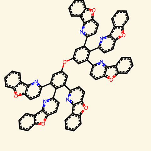 c1ccc2c(c1)oc1ccc(-c3cc(Oc4cc(-c5ccc6oc7ccccc7c6n5)c(-c5ccc6oc7ccccc7c6n5)c(-c5ccc6oc7ccccc7c6n5)c4)cc(-c4ccc5oc6ccccc6c5n4)c3-c3ccc4oc5ccccc5c4n3)nc12